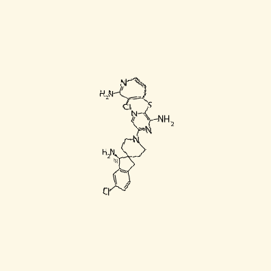 Nc1nc(N2CCC3(CC2)Cc2ccc(Cl)cc2[C@H]3N)cnc1Sc1ccnc(N)c1Cl